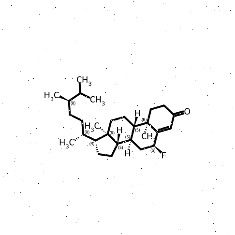 CC(C)[C@H](C)CC[C@@H](C)[C@H]1CC[C@H]2[C@@H]3C[C@H](F)C4=CC(=O)CC[C@]4(C)[C@H]3CC[C@]12C